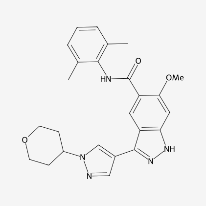 COc1cc2[nH]nc(-c3cnn(C4CCOCC4)c3)c2cc1C(=O)Nc1c(C)cccc1C